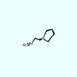 [CH2]C(=O)NCCN1CCCC1